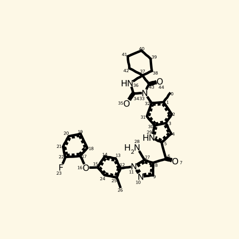 Cc1cc2cc(C(=O)c3cnn(-c4ccc(Oc5ccccc5F)cc4C)c3N)[nH]c2cc1N1C(=O)NC2(CCCCC2)C1=O